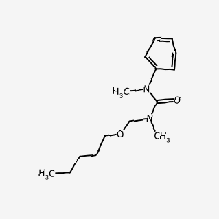 CCCCCOCN(C)C(=O)N(C)c1ccccc1